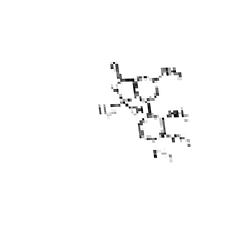 Cc1ccc(-c2cc(N)cc3c2C(C)(C)OC3=O)c(N)c1C